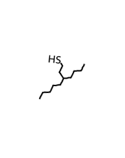 CCCCCC(CCS)CCCC